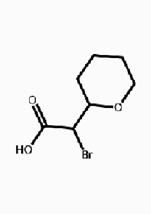 O=C(O)C(Br)C1CCCCO1